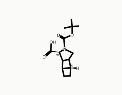 CC(C)(C)OC(=O)N1CC2C(C3CC[C@H]32)[C@H]1C(=O)O